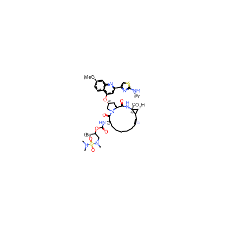 COc1ccc2c(O[C@@H]3CC4C(=O)N[C@]5(C(=O)O)CC5/C=C\CCCCC[C@H](NC(=O)OC(CN(C)S(=O)(=O)N(C)C)C(C)(C)C)C(=O)N4C3)cc(-c3csc(NC(C)C)n3)nc2c1